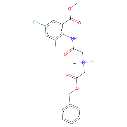 COC(=O)c1cc(Cl)cc(C)c1NC(=O)C[N+](C)(C)CC(=O)OCc1ccccc1